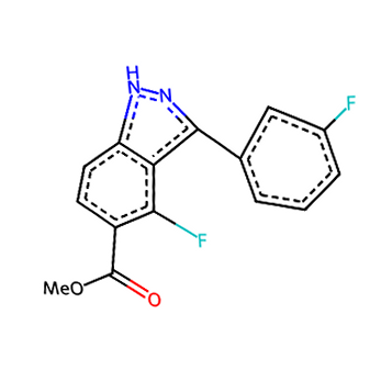 COC(=O)c1ccc2[nH]nc(-c3cccc(F)c3)c2c1F